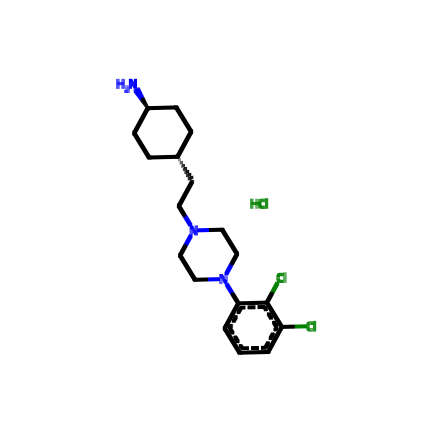 Cl.N[C@H]1CC[C@H](CCN2CCN(c3cccc(Cl)c3Cl)CC2)CC1